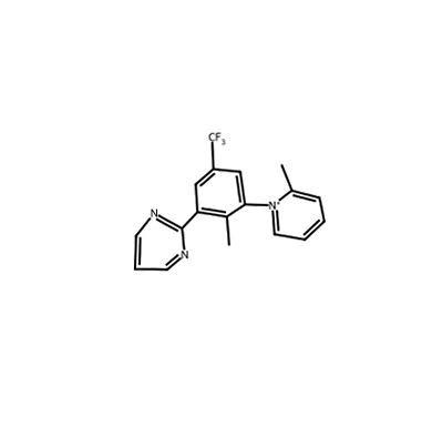 Cc1c(-c2ncccn2)cc(C(F)(F)F)cc1-[n+]1ccccc1C